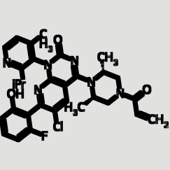 C=CC(=O)N1C[C@@H](C)N(c2nc(=O)n(-c3c(C)ccnc3C(C)C)c3nc(-c4c(O)cccc4F)c(Cl)cc23)[C@H](C)C1